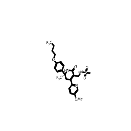 COc1ccc(C2=C(CNS(C)(=O)=O)C(=O)N[C@@](c3ccc(OCCCC(F)(F)F)cc3)(C(F)(F)F)C2)nc1